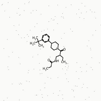 CCC(=O)NCC(CC)C(=O)N1CCC(c2cccc(C(C)(C)C)c2)CC1